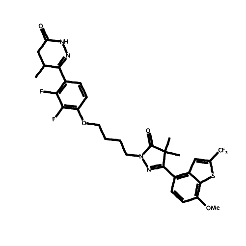 COc1ccc(C2=NN(CCCCOc3ccc(C4=NNC(=O)CC4C)c(F)c3F)C(=O)C2(C)C)c2cc(C(F)(F)F)sc12